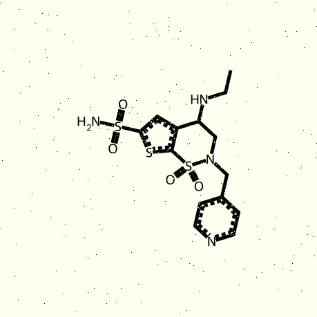 CCNC1CN(Cc2ccncc2)S(=O)(=O)c2sc(S(N)(=O)=O)cc21